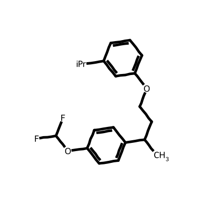 CC(C)c1cccc(OCCC(C)c2ccc(OC(F)F)cc2)c1